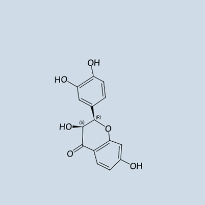 O=C1c2ccc(O)cc2O[C@H](c2ccc(O)c(O)c2)[C@@H]1O